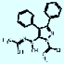 C=C(Cl)n1nc(-c2ccccc2)c(-c2ccccc2)c1N(C)/N=C(/C)S